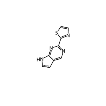 c1csc(-c2ncc3cc[nH]c3n2)n1